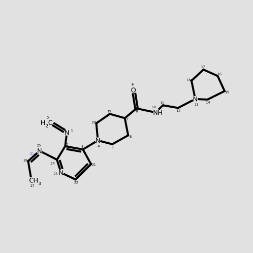 C=Nc1c(N2CCC(C(=O)NCCN3CCCCC3)CC2)ccnc1/N=C\C